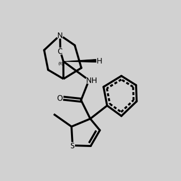 CC1SC=CC1(C(=O)N[C@H]1CN2CCC1CC2)c1ccccc1